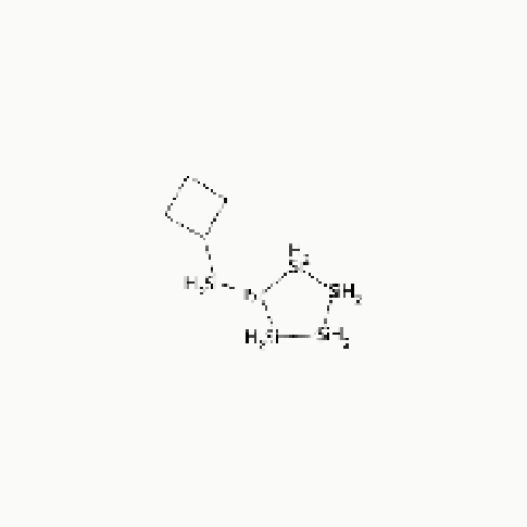 C1CC([SiH2][SiH]2[SiH2][SiH2][SiH2][SiH2]2)C1